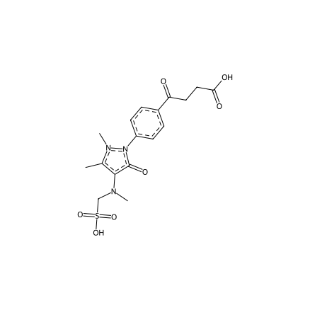 Cc1c(N(C)CS(=O)(=O)O)c(=O)n(-c2ccc(C(=O)CCC(=O)O)cc2)n1C